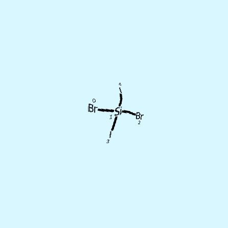 Br[Si](Br)(I)I